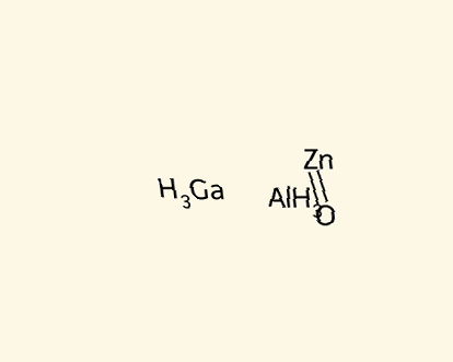 [AlH3].[GaH3].[O]=[Zn]